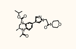 CC(=O)N1c2ccc(-c3cnn(CC(=O)N4CCOCC4)c3)cc2N(C(=O)OC(C)C)C[C@@H]1C